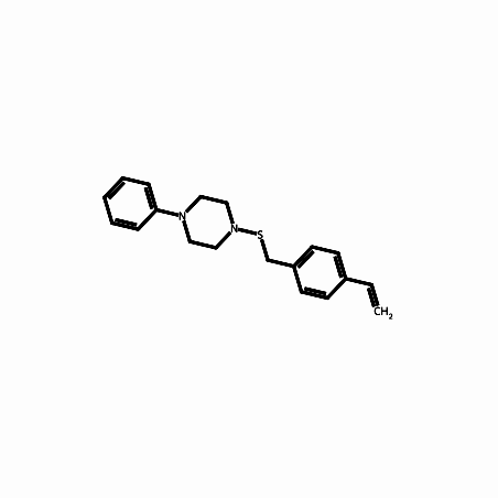 C=Cc1ccc(CSN2CCN(c3ccccc3)CC2)cc1